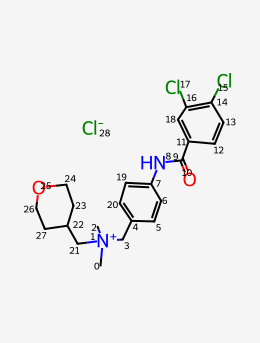 C[N+](C)(Cc1ccc(NC(=O)c2ccc(Cl)c(Cl)c2)cc1)CC1CCOCC1.[Cl-]